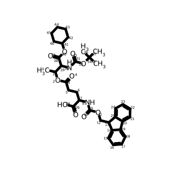 CC(OC(=O)CCC(NC(=O)OCC1c2ccccc2-c2ccccc21)C(=O)O)C(NC(=O)OC(C)(C)C)C(=O)OC1CCCCC1